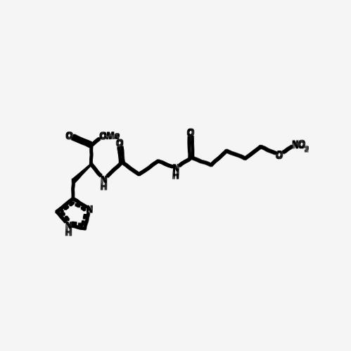 COC(=O)[C@H](Cc1c[nH]cn1)NC(=O)CCNC(=O)CCCCO[N+](=O)[O-]